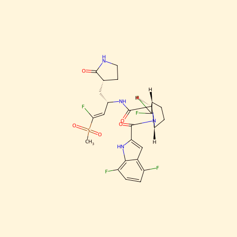 CS(=O)(=O)/C(F)=C/[C@H](C[C@H]1CCNC1=O)NC(=O)[C@H]1[C@@H]2CC[C@@H](CC2(F)F)N1C(=O)c1cc2c(F)ccc(F)c2[nH]1